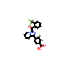 O=C(O)c1ccc(-c2nc(C(=O)c3ccccc3C(F)(F)F)n3ccccc23)c(F)c1